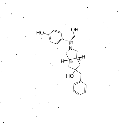 OC[C@H](c1ccc(O)cc1)N1C[C@@H]2CC(O)(Cc3ccccc3)C[C@@H]2C1